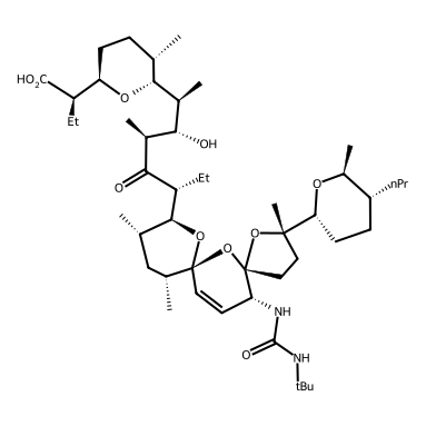 CCC[C@@H]1CC[C@H]([C@]2(C)CC[C@@]3(O[C@]4(C=C[C@H]3NC(=O)NC(C)(C)C)O[C@H]([C@@H](CC)C(=O)[C@@H](C)[C@@H](O)[C@H](C)[C@@H]3O[C@@H]([C@@H](CC)C(=O)O)CC[C@@H]3C)[C@@H](C)C[C@H]4C)O2)O[C@H]1C